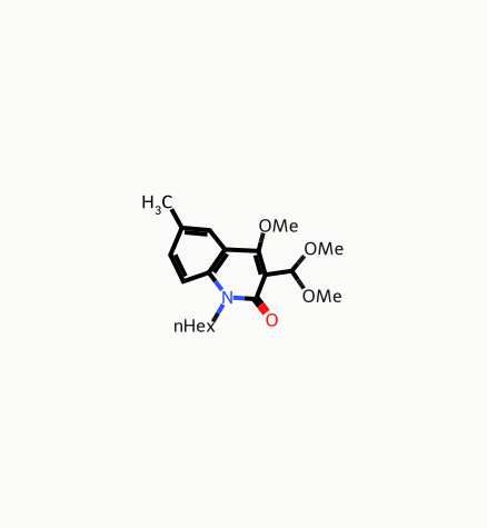 CCCCCCn1c(=O)c(C(OC)OC)c(OC)c2cc(C)ccc21